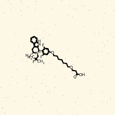 C[C@@H]1Cc2c([nH]c3ccccc23)[C@@H](c2c(F)cc(OCCCCCCCOCCC(=O)O)cc2F)N1CC(C)(C)F